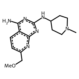 COCc1ccc2c(N)nc(NC3CCN(C)CC3)nc2n1